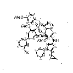 COc1ccc(CN(c2noc3cc(Nc4cc(C5CC5)n(C5CCCCO5)n4)c(OC)cc23)S(=O)(=O)c2c(OC)cc(-c3nccc(C(C)=O)n3)cc2OC)cc1